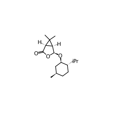 CC(C)[C@@H]1CC[C@@H](C)C[C@H]1O[C@H]1OC(=O)[C@@H]2[C@H]1C2(C)C